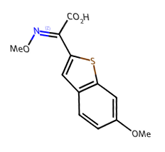 CO/N=C(/C(=O)O)c1cc2ccc(OC)cc2s1